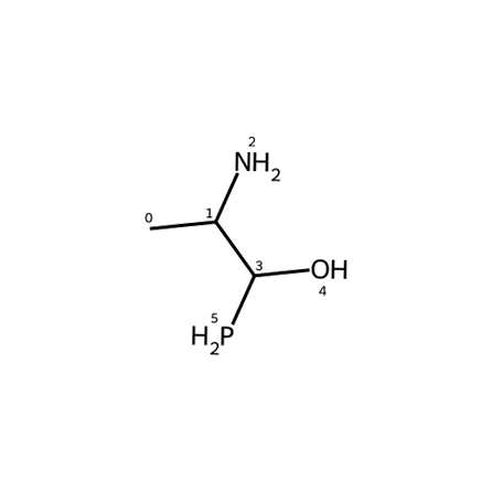 CC(N)C(O)P